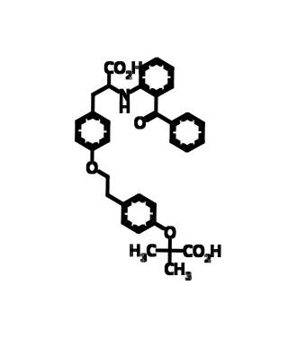 CC(C)(Oc1ccc(CCOc2ccc(CC(Nc3ccccc3C(=O)c3ccccc3)C(=O)O)cc2)cc1)C(=O)O